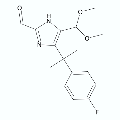 COC(OC)c1[nH]c(C=O)nc1C(C)(C)c1ccc(F)cc1